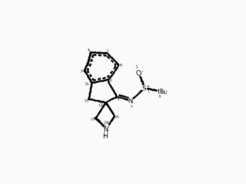 CC(C)(C)[S+]([O-])N=C1c2ccccc2CC12CNC2